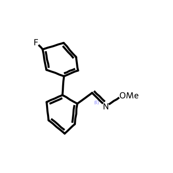 CO/N=C/c1ccccc1-c1cccc(F)c1